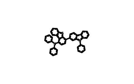 c1ccc(N(c2ccccc2)c2ccc(-c3ccc4c5ccccc5n(-c5ccccc5)c4c3)c3sc4ccccc4c23)cc1